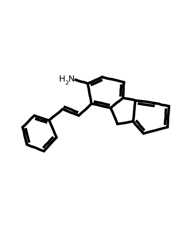 Nc1ccc2c(c1C=Cc1ccccc1)Cc1ccccc1-2